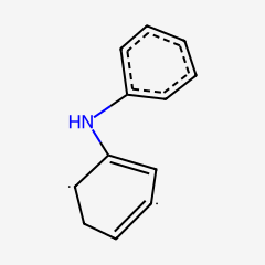 [C]1=CC[CH]C(Nc2ccccc2)=C1